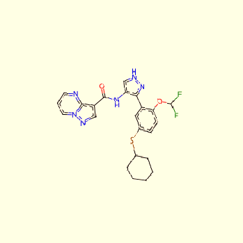 O=C(Nc1c[nH]nc1-c1cc(SC2CCCCC2)ccc1OC(F)F)c1cnn2cccnc12